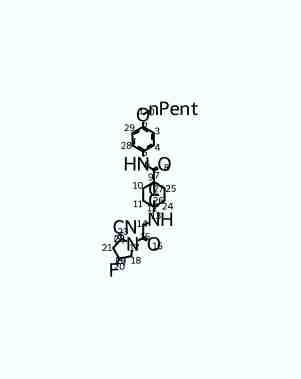 CCCCCOc1ccc(NC(=O)C23CCC(NCC(=O)N4C[C@@H](F)C[C@H]4C#N)(CC2)CC3)cc1